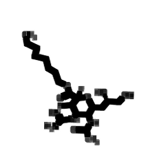 CCCCCCCCOC(=O)[C@]1(F)OC(C[C@H](O)CO)C(NC(C)=O)C(NC(=N)N)C1F